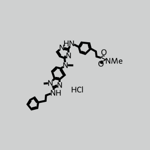 CNS(=O)(=O)CCc1ccc(Nc2nccc(N(C)c3ccc4c(c3)nc(NCCc3ccccc3)n4C)n2)cc1.Cl